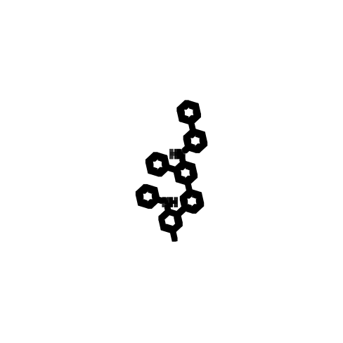 CC1=CCC(Nc2ccccc2)C(c2cccc(-c3ccc(Nc4cccc(-c5ccccc5)c4)c(-c4ccccc4)c3)c2)=C1